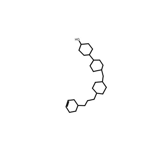 OC1CCC(C2CCC(CC3CCC(CCCC4CC=CCC4)CC3)CC2)CC1